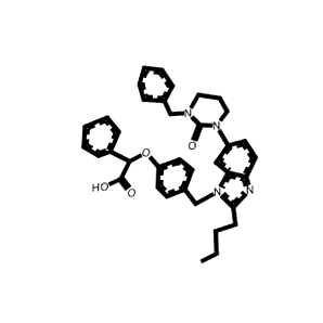 CCCCc1nc2ccc(N3CCCN(Cc4ccccc4)C3=O)cc2n1Cc1ccc(OC(C(=O)O)c2ccccc2)cc1